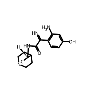 N=C(C(=O)N[C@H]1CN2CCC1CC2)c1ccc(O)cc1N